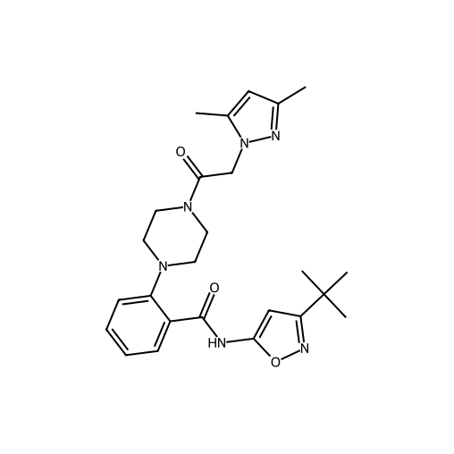 Cc1cc(C)n(CC(=O)N2CCN(c3ccccc3C(=O)Nc3cc(C(C)(C)C)no3)CC2)n1